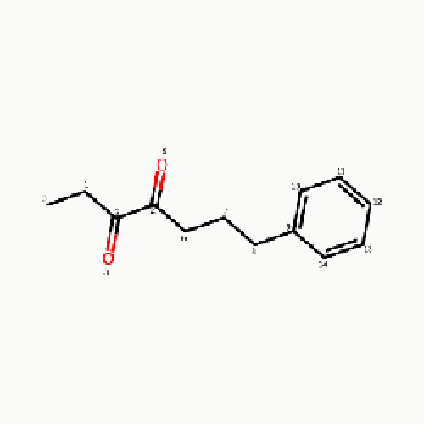 CCC(=O)C(=O)CCCc1ccccc1